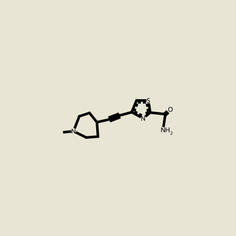 CN1CCC(C#Cc2csc(C(N)=O)n2)CC1